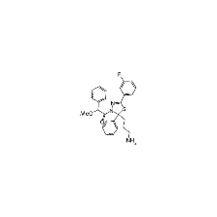 COC(C(=O)N1N=C(c2cccc(F)c2)SC1(CCCN)c1ccccc1)c1ccccc1